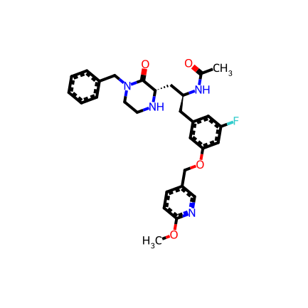 COc1ccc(COc2cc(F)cc(C[C@@H](C[C@@H]3NCCN(Cc4ccccc4)C3=O)NC(C)=O)c2)cn1